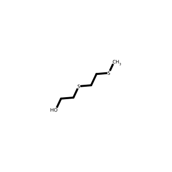 CSCCSCCO